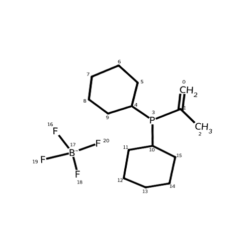 C=C(C)P(C1CCCCC1)C1CCCCC1.F[B-](F)(F)F